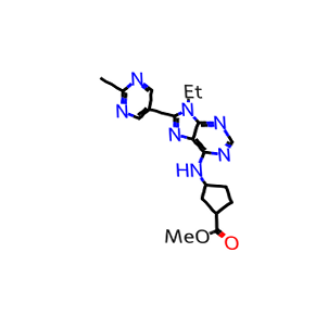 CCn1c(-c2cnc(C)nc2)nc2c(NC3CCC(C(=O)OC)C3)ncnc21